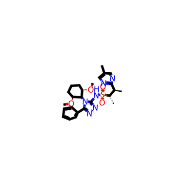 CO[C@H]1CCC[C@@H](OC)C1n1c(NS(=O)(=O)[C@@H](C)[C@H](C)c2ncc(C)cn2)nnc1-c1ccccc1